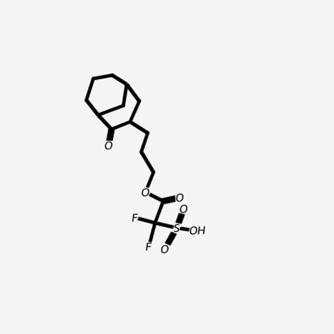 O=C1C(CCCOC(=O)C(F)(F)S(=O)(=O)O)CC2CCCC1C2